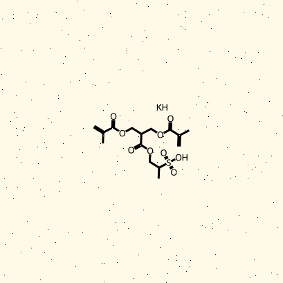 C=C(C)C(=O)OCC(COC(=O)C(=C)C)C(=O)OCC(C)S(=O)(=O)O.[KH]